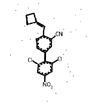 N#Cc1cc(-c2c(Cl)cc([N+](=O)[O-])cc2Cl)ccc1C=C1CCC1